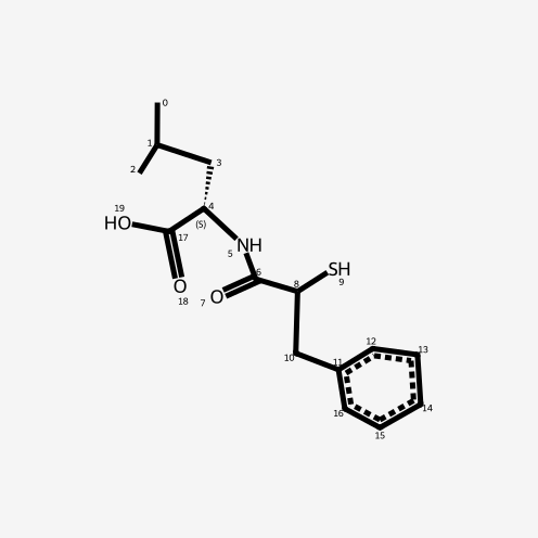 CC(C)C[C@H](NC(=O)C(S)Cc1ccccc1)C(=O)O